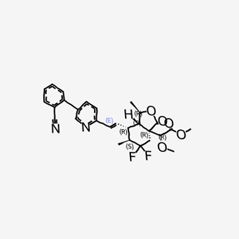 COC(=O)[C@H](OC)[C@@]12CC(F)(F)[C@@H](C)[C@H](/C=C/c3ccc(-c4ccccc4C#N)cn3)[C@@H]1[C@@H](C)OC2=O